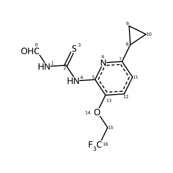 O=CNC(=S)Nc1nc(C2CC2)ccc1OCC(F)(F)F